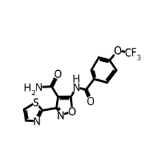 NC(=O)c1c(-c2nccs2)noc1NC(=O)c1ccc(OC(F)(F)F)cc1